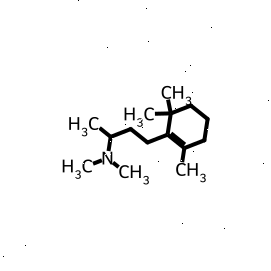 CC1=C(CCC(C)N(C)C)C(C)(C)CCC1